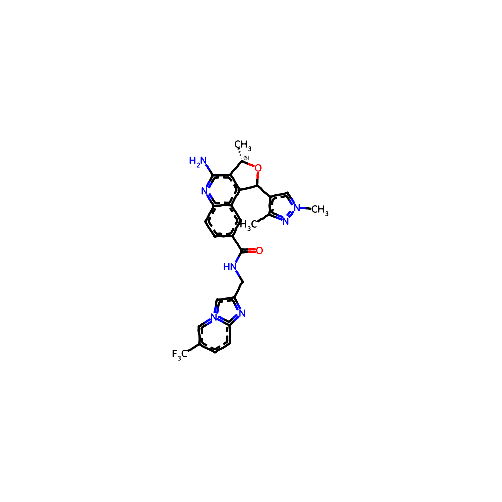 Cc1nn(C)cc1C1O[C@@H](C)c2c(N)nc3ccc(C(=O)NCc4cn5cc(C(F)(F)F)ccc5n4)cc3c21